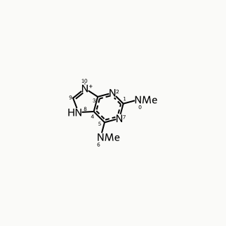 CNc1nc2c(c(NC)n1)NC=[N+]2